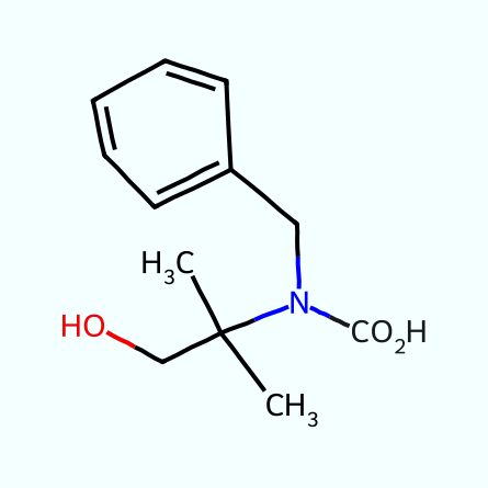 CC(C)(CO)N(Cc1ccccc1)C(=O)O